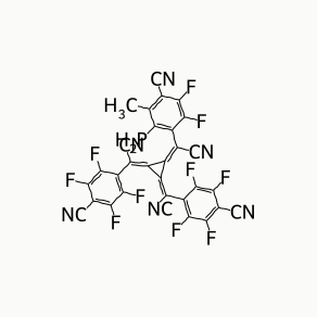 Cc1c(P)c(/C(C#N)=C2\C(=C(C#N)c3c(F)c(F)c(C#N)c(F)c3F)\C2=C(/C#N)c2c(F)c(F)c(C#N)c(F)c2F)c(F)c(F)c1C#N